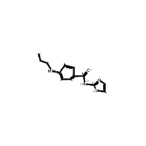 CCCNc1ccc(C(=O)Nc2nccs2)cc1